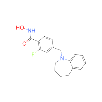 O=C(NO)c1ccc(CN2CCCCc3ccccc32)cc1F